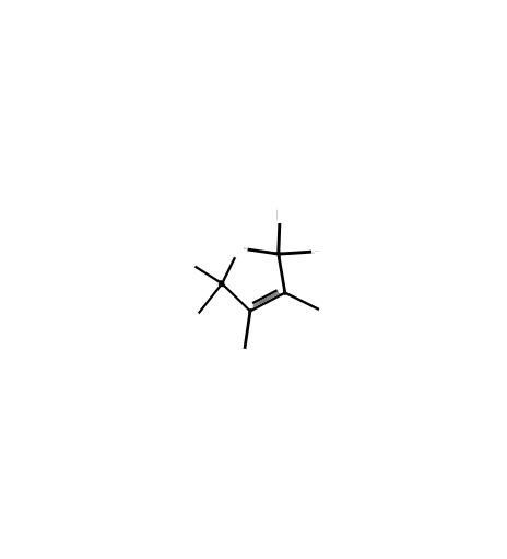 CC1=C(C)C(F)(F)OC1(C)F